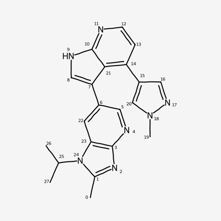 Cc1nc2ncc(-c3c[nH]c4nccc(-c5cnn(C)c5)c34)cc2n1C(C)C